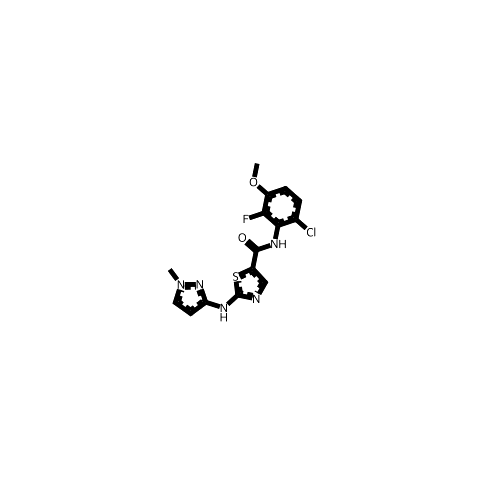 COc1ccc(Cl)c(NC(=O)c2cnc(Nc3ccn(C)n3)s2)c1F